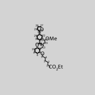 CCOC(=O)CCCCCOc1ccccc1CN(CCOC)C(=O)c1ccc(-c2ccco2)cc1